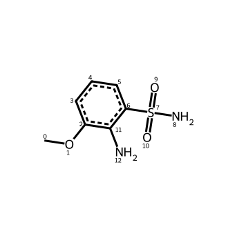 COc1cccc(S(N)(=O)=O)c1N